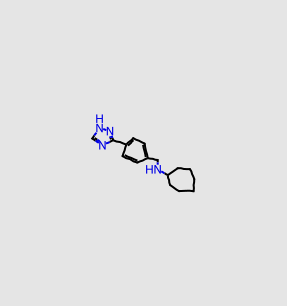 c1nc(-c2ccc(CNC3CCCCCC3)cc2)n[nH]1